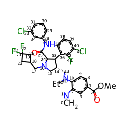 C=Nc1cc(C(=O)OC)ccc1N(CC)C[C@@H]1CN(CC2CC(F)(F)C2)C(C(=O)Nc2cccc(Cl)c2)C1c1cccc(Cl)c1F